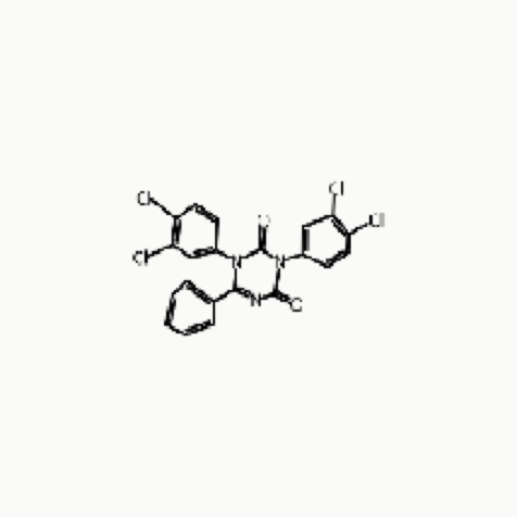 O=c1nc(-c2ccccc2)n(-c2ccc(Cl)c(Cl)c2)c(=O)n1-c1ccc(Cl)c(Cl)c1